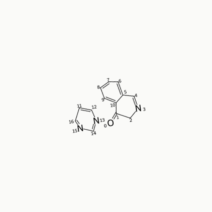 O=C1CN=Cc2ccccc21.c1cncnc1